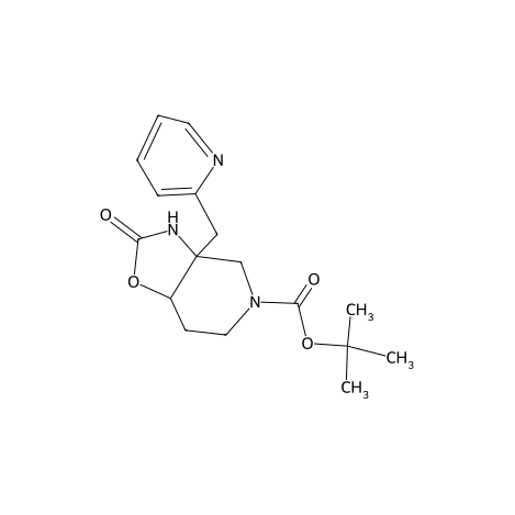 CC(C)(C)OC(=O)N1CCC2OC(=O)NC2(Cc2ccccn2)C1